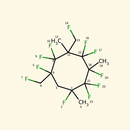 CC1(F)CC(F)(CF)C(F)(F)C(C)(CF)C(F)(F)C(C)(F)C1(F)F